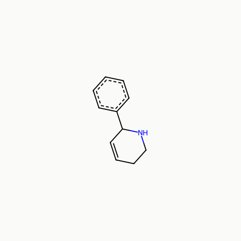 C1=CC(c2ccccc2)NCC1